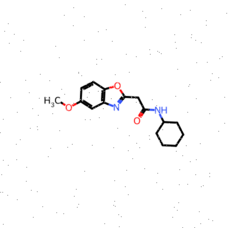 COc1ccc2oc(CC(=O)NC3CCCCC3)nc2c1